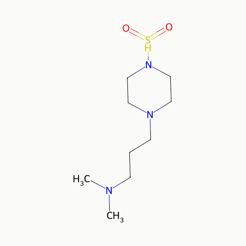 CN(C)CCCN1CCN([SH](=O)=O)CC1